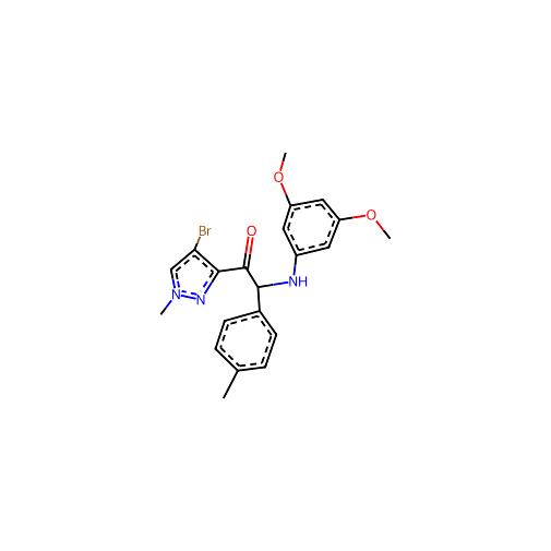 COc1cc(NC(C(=O)c2nn(C)cc2Br)c2ccc(C)cc2)cc(OC)c1